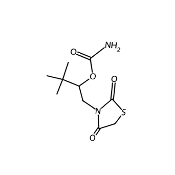 CC(C)(C)C(CN1C(=O)CSC1=O)OC(N)=O